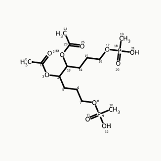 CC(=O)OC(CCCOP(C)(=O)O)C(CCCOP(C)(=O)O)OC(C)=O